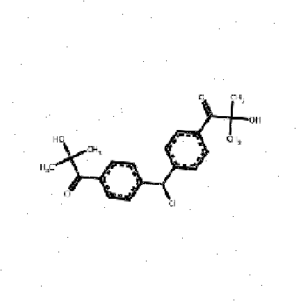 CC(C)(O)C(=O)c1ccc(C(Cl)c2ccc(C(=O)C(C)(C)O)cc2)cc1